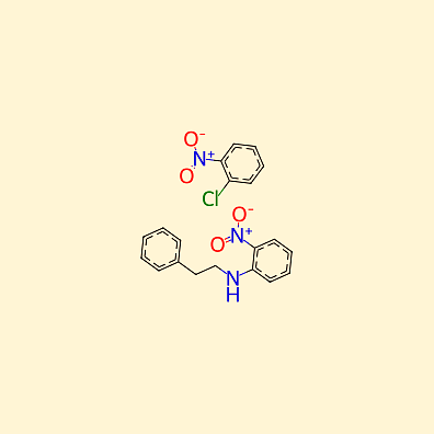 O=[N+]([O-])c1ccccc1Cl.O=[N+]([O-])c1ccccc1NCCc1ccccc1